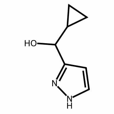 OC(c1cc[nH]n1)C1CC1